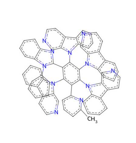 Cc1cccc(-c2c(-n3c4ccccc4c4ccncc43)c(-c3nc4ccccc4n3-c3ccccc3)c(-n3c4ccccc4c4ccncc43)c(-n3c4ccccc4c4ccncc43)c2-n2c3ccccc3c3ccncc32)n1